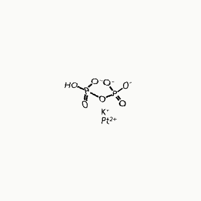 O=P([O-])([O-])OP(=O)([O-])O.[K+].[Pt+2]